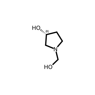 OCN1CC[C@@H](O)C1